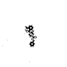 CC(=O)c1cccc2nc3n(c(=O)c12)CCN(C(=O)OCc1ccccc1)C3